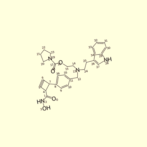 O=C(NO)C1C#CC1c1ccc(CN(CCOC(=O)N2CCCC2)CCc2c[nH]c3ccccc23)cc1